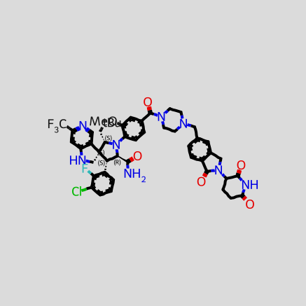 COc1cc(C(=O)N2CCN(Cc3ccc4c(c3)CN(C3CCC(=O)NC3=O)C4=O)CC2)ccc1N1[C@@H](CC(C)(C)C)[C@@]2(CNc3cc(C(F)(F)F)ncc32)[C@@H](c2cccc(Cl)c2F)[C@@H]1C(N)=O